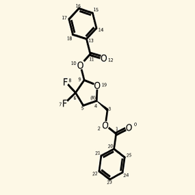 O=C(OC[C@H]1CC(F)(F)C(OC(=O)c2ccccc2)O1)c1ccccc1